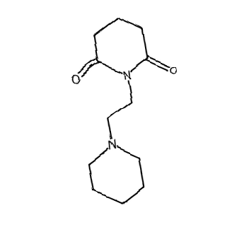 O=C1CCCC(=O)N1CCN1CCCCC1